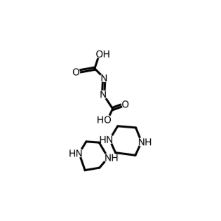 C1CNCCN1.C1CNCCN1.O=C(O)N=NC(=O)O